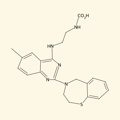 Cc1ccc2nc(N3CCSc4ccccc4C3)nc(NCCNC(=O)O)c2c1